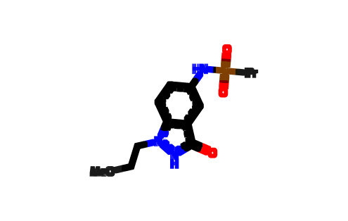 COCCn1[nH]c(=O)c2cc(NS(=O)(=O)C(C)C)ccc21